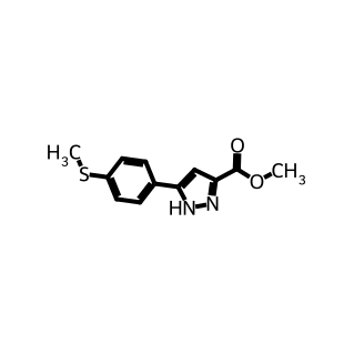 COC(=O)c1cc(-c2ccc(SC)cc2)[nH]n1